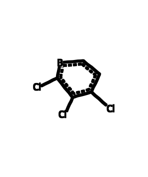 Clc1bccc(Cl)c1Cl